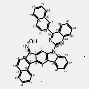 O/N=C1\c2cc3c(cc2-c2c1ccc1ccccc21)c1ccccc1n3-c1nc(-c2ccc3ccccc3c2)c2ccccc2n1